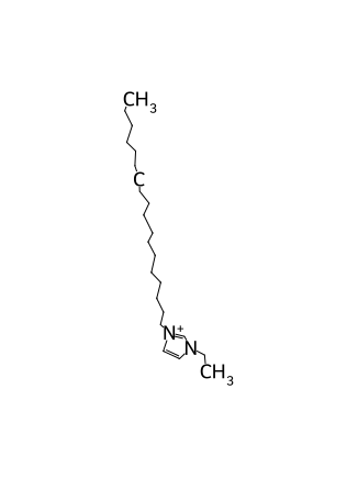 CCCCCCCCCCCCCCCCCC[n+]1ccn(CC)c1